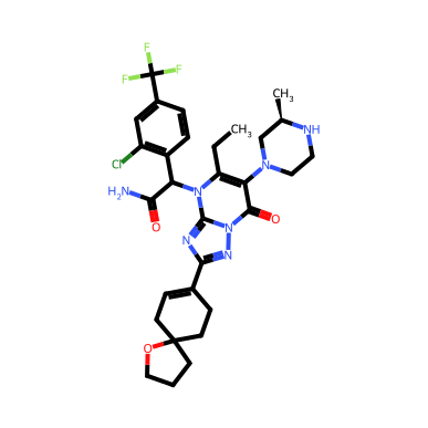 CCc1c(N2CCN[C@H](C)C2)c(=O)n2nc(C3=CCC4(CCCO4)CC3)nc2n1C(C(N)=O)c1ccc(C(F)(F)F)cc1Cl